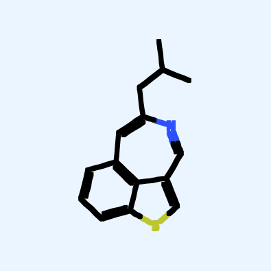 CC(C)CC1=Cc2cccc3scc(c23)C=N1